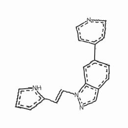 C(=Cn1ncc2ccc(-c3ccncc3)cc21)c1ccc[nH]1